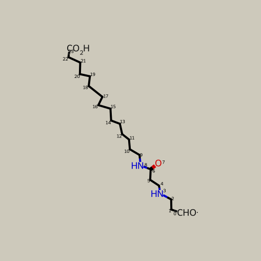 O=[C]CCNCCC(=O)NCCCCCCCCCCCCCCC(=O)O